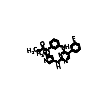 C=CC(=O)Nc1cccc(Nc2nc(Nc3cnn(C)c3)ncc2-c2cccc(F)c2)c1